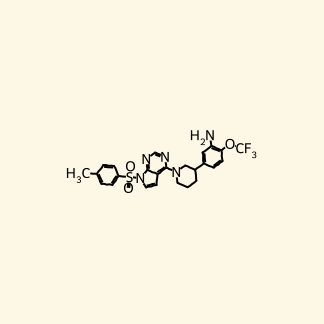 Cc1ccc(S(=O)(=O)n2ccc3c(N4CCCC(c5ccc(OC(F)(F)F)c(N)c5)C4)ncnc32)cc1